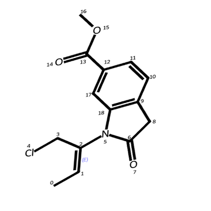 C/C=C(\CCl)N1C(=O)Cc2ccc(C(=O)OC)cc21